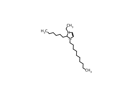 CCCCCCCCCCN1C=CN(CC)C1CCCCCC